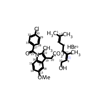 Br.CC(C)=CCC/C(C)=C\CO.COc1ccc2c(c1)c(CC(=O)O)c(C)n2C(=O)c1ccc(Cl)cc1